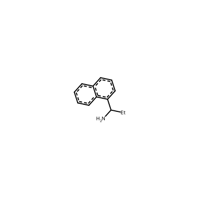 CCC(N)c1cccc2ccccc12